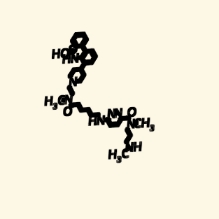 CNCCCN(C)C(=O)c1ccc(NCCCCCC(=O)N(C)CCN2CCC(c3cccc(-c4ccccc4)c3NC(=O)O)CC2)nn1